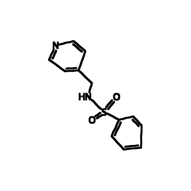 O=S(=O)(NCc1ccncc1)c1ccccc1